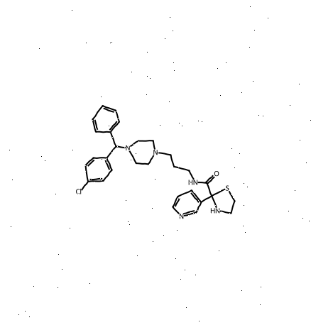 O=C(NCCCN1CCN(C(c2ccccc2)c2ccc(Cl)cc2)CC1)C1(c2cccnc2)NCCS1